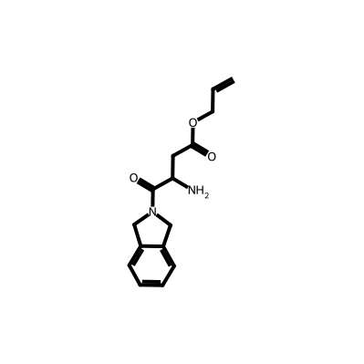 C=CCOC(=O)CC(N)C(=O)N1Cc2ccccc2C1